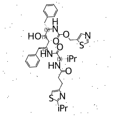 CC(C)c1nc(CCC(=O)N[C@H](C(=O)N[C@@H](Cc2ccccc2)C[C@H](O)[C@H](Cc2ccccc2)NC(=O)OCc2cncs2)C(C)C)cs1